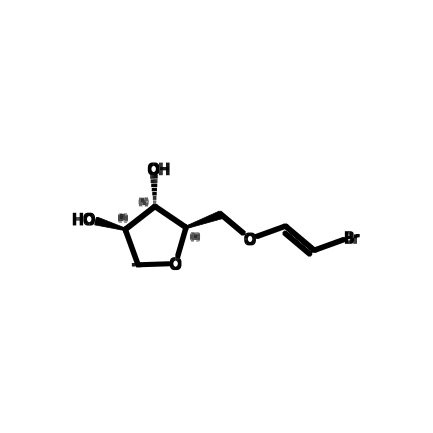 O[C@H]1[C@H](O)[CH]O[C@@H]1COC=CBr